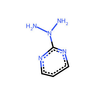 NN(N)c1ncccn1